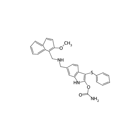 COc1ccc2ccccc2c1CNCc1ccc2c(Sc3ccccc3)c(OC(N)=O)[nH]c2c1